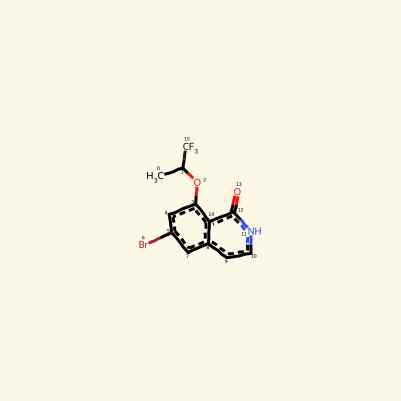 CC(Oc1cc(Br)cc2cc[nH]c(=O)c12)C(F)(F)F